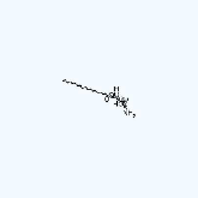 CCCCCCCCCCCCCCCCCCC(=O)OCC(O)COP(=O)(O)OCCN